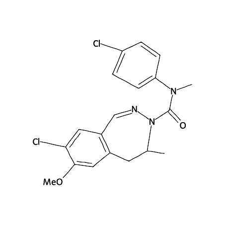 COc1cc2c(cc1Cl)C=NN(C(=O)N(C)c1ccc(Cl)cc1)C(C)C2